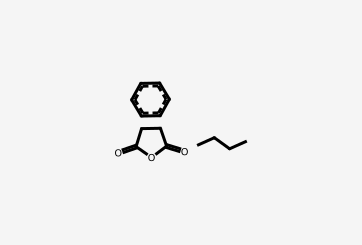 CCCC.O=C1CCC(=O)O1.c1ccccc1